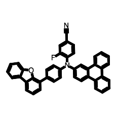 N#Cc1ccc(N(c2ccc(-c3cccc4c3oc3ccccc34)cc2)c2ccc3c4ccccc4c4ccccc4c3c2)c(F)c1